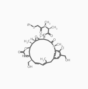 C/C1=C\C=C\[C@@H](CO)[C@@]2(O)CC(OC(=O)N2)[C@@H](C)[C@@H]2O[C@@]2(C)[C@@H](OC(=O)[C@H](C)N(C)C(=O)CSC(C)C)CC(=O)N(C)c2cc(cc(CO)c2Cl)C1